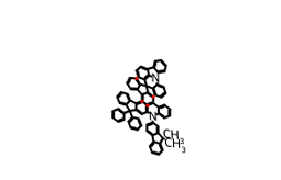 CC1(C)c2ccccc2-c2ccc(N(c3ccc4c(c3)C(c3ccccc3)(c3ccccc3)c3ccccc3-4)c3ccccc3-c3ccc4c(c3)C3(c5ccccc5-4)c4ccccc4-n4c5ccccc5c5cccc3c54)cc21